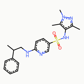 Cc1nn(C)c(C)c1NS(=O)(=O)c1ccc(NCC(C)c2ccccc2)nc1